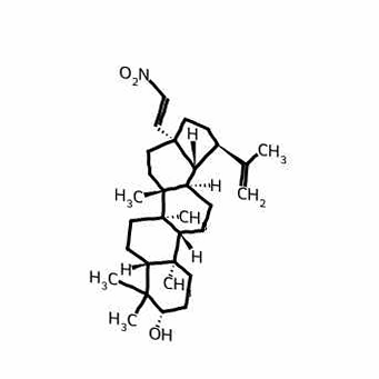 C=C(C)[C@@H]1CC[C@]2(/C=C/[N+](=O)[O-])CC[C@]3(C)[C@H](CC[C@@H]4[C@@]5(C)CC[C@H](O)C(C)(C)[C@@H]5CC[C@]43C)[C@@H]12